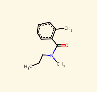 CCCN(C)C(=O)c1ccccc1C